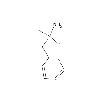 [CH2]C(C)(N)Cc1ccccc1